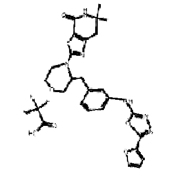 CC1(C)Cc2nc(N3CCOCC3Cc3cccc(Nc4nnc(-c5ccco5)o4)c3)sc2C(=O)N1.O=C(O)C(F)(F)F